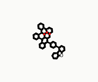 c1ccc(-c2cc3ccccc3c3ccccc23)c(-c2c3ccccc3c(-c3ccc(-c4cccc5oc6ccccc6c45)cc3)c3ccccc23)c1